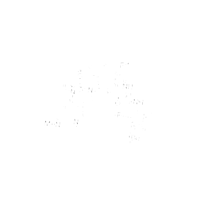 CNc1cc2c(cn1)CN(c1cc(NC(=O)Nc3scc(C(C)(C)C)c3F)c(F)cc1C)C(=O)N2C